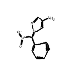 Nc1cnn(C(c2ccccc2)[N+](=O)[O-])c1